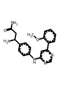 COc1ccccc1-c1cc(Nc2ccc(C(N)CC(N)=O)cc2)ncn1